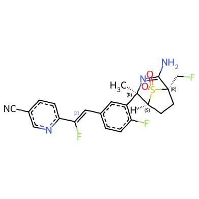 C[C@]1(c2cc(/C=C(\F)c3ccc(C#N)cn3)ccc2F)N=C(N)[C@@]2(CF)CC[C@@H]1S2(=O)=O